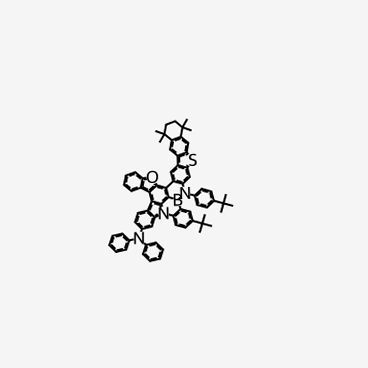 CC(C)(C)c1ccc(N2B3c4cc(C(C)(C)C)ccc4-n4c5cc(N(c6ccccc6)c6ccccc6)ccc5c5c6c(oc7ccccc76)c(c3c54)-c3cc4c(cc32)sc2cc3c(cc24)C(C)(C)CCC3(C)C)cc1